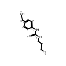 O=C(NCCCCl)Nc1ccc(CO)cc1